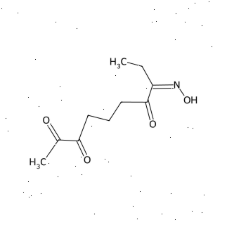 CC/C(=N/O)C(=O)CCCC(=O)C(C)=O